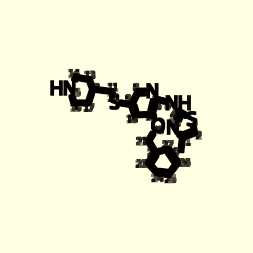 Cc1csc(Nc2ncc(SCC3CCNCC3)cc2OCc2ccccc2)n1